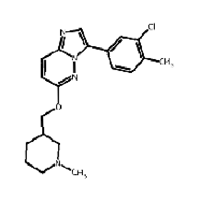 Cc1ccc(-c2cnc3ccc(OCC4CCCN(C)C4)nn23)cc1Cl